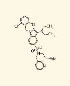 CCN(CC)c1nn(Cc2c(Cl)cccc2Cl)c2ccc(S(=O)(=O)N(CCC#N)Cc3cccnc3)cc12